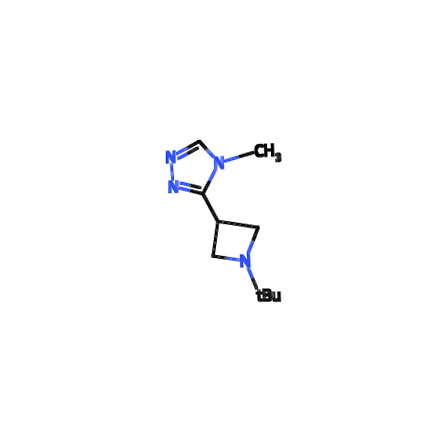 Cn1cnnc1C1CN(C(C)(C)C)C1